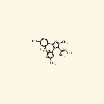 Cc1cc(-c2c(-c3ccc(O)cc3C)nn(C)c2/C(N)=N/O)c(C)s1